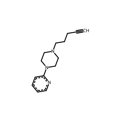 C#CCCCN1CCN(c2ccccn2)CC1